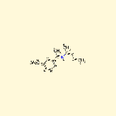 C=C/C=C(C)\N=C(/C)c1cccc(OC)c1